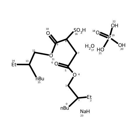 CCCCC(CC)COC(=O)CC(C(=O)OCC(CC)CCCC)S(=O)(=O)O.O.O=P(O)(O)O.[NaH]